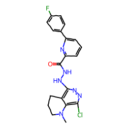 CN1CCCc2c(NNC(=O)c3cccc(-c4ccc(F)cc4)n3)nnc(Cl)c21